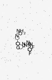 NC(=O)CN1CCC(c2ccc3c(c2)-c2nn(-c4ncnn4-c4ccc(F)cc4F)cc2CCO3)CC1